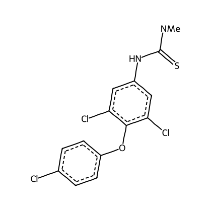 CNC(=S)Nc1cc(Cl)c(Oc2ccc(Cl)cc2)c(Cl)c1